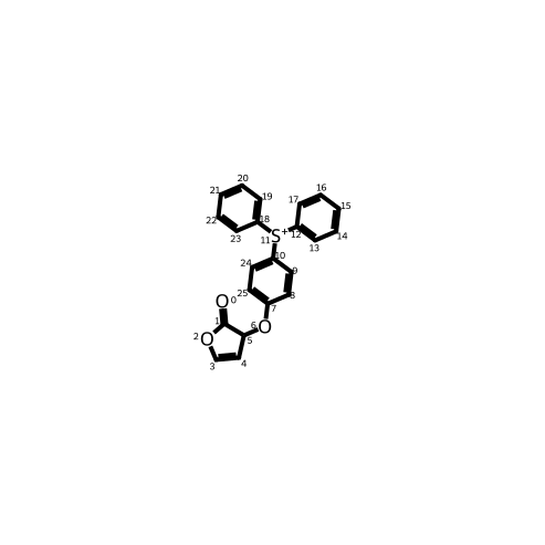 O=C1OC=CC1Oc1ccc([S+](c2ccccc2)c2ccccc2)cc1